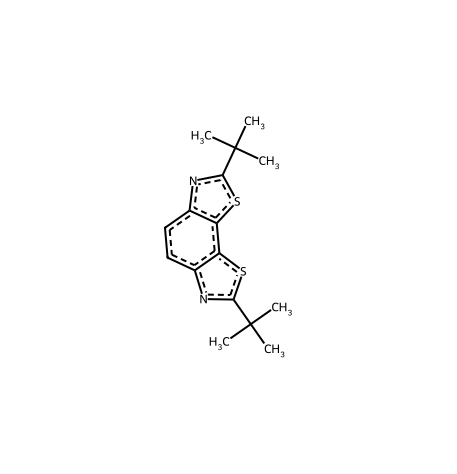 CC(C)(C)c1nc2ccc3nc(C(C)(C)C)sc3c2s1